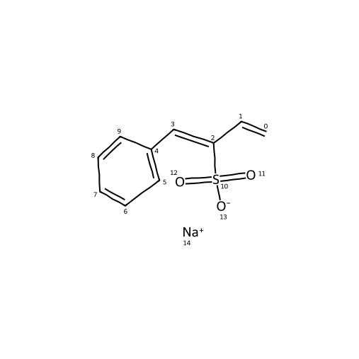 C=CC(=Cc1ccccc1)S(=O)(=O)[O-].[Na+]